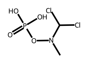 CN(OP(=O)(O)O)C(Cl)Cl